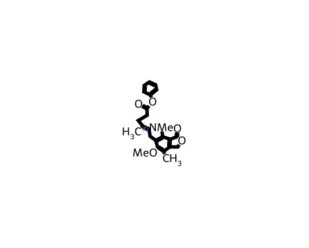 CNc1c(C/C=C(\C)CCC(=O)Oc2ccccc2)c(OC)c(C)c2c1C(=O)OC2